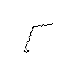 CCCCCCCC/C=C\CCCCCCCCN1CCO1